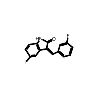 O=C1Nc2ccc(I)cc2C1=Cc1cccc(F)c1